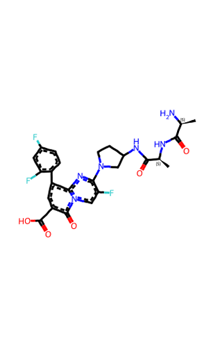 C[C@H](N)C(=O)N[C@@H](C)C(=O)NC1CCN(c2nc3c(-c4ccc(F)cc4F)cc(C(=O)O)c(=O)n3cc2F)C1